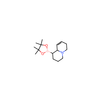 CC1(C)OB(C2CCCN3CCC=CC23)OC1(C)C